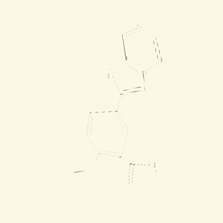 COc1ccc(-c2cc3ccncc3[nH]2)cc1C(N)=O